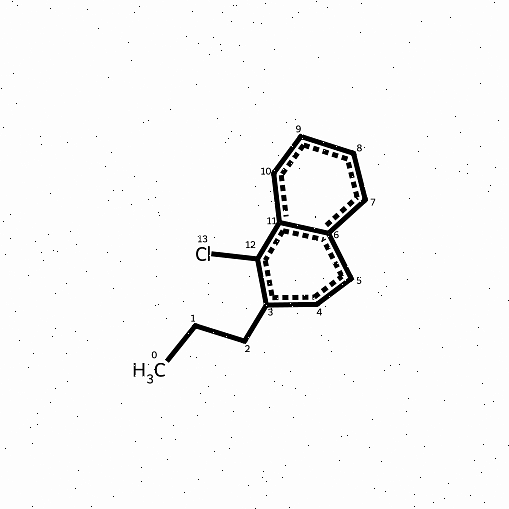 CCCc1ccc2ccccc2c1Cl